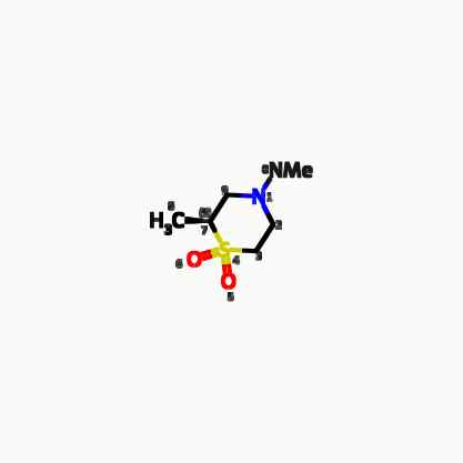 CNN1CCS(=O)(=O)[C@@H](C)C1